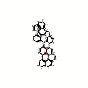 c1ccc(-c2cccc(N(c3ccc(-c4cccc5ccc6ccc7ccccc7c6c45)cc3)c3cccc4sc5c6ccccc6ccc5c34)c2)cc1